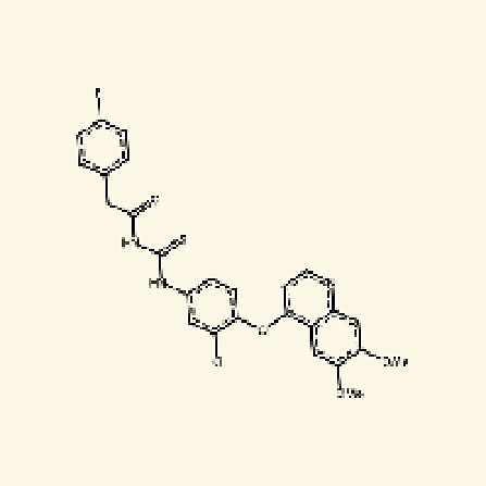 COc1cc2nccc(Oc3ccc(NC(=S)NC(=O)Cc4ccc(F)cc4)cc3Cl)c2cc1OC